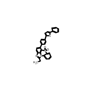 CCc1nc2ccc(-c3ccc(-c4ccc(-c5ccccc5)s4)cc3)c3c2n1-c1ccccc1S3(=O)=O